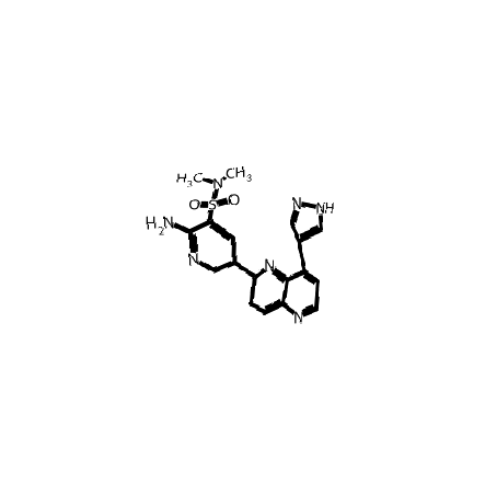 CN(C)S(=O)(=O)C1=CC(C2CC=c3nccc(-c4cn[nH]c4)c3=N2)CN=C1N